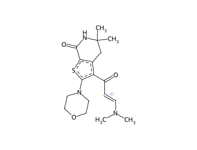 CN(C)/C=C/C(=O)c1c(N2CCOCC2)sc2c1CC(C)(C)NC2=O